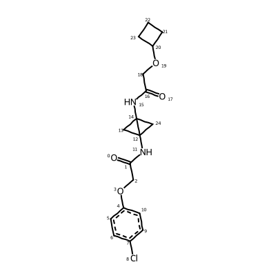 O=C(COc1ccc(Cl)cc1)NC12CC1(NC(=O)COC1CCC1)C2